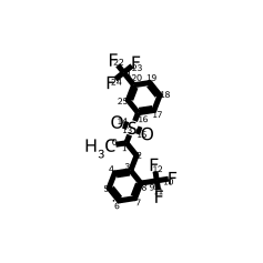 CC(Cc1cc[c]cc1C(F)(F)F)S(=O)(=O)c1cccc(C(F)(F)F)c1